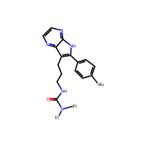 CCN(CC)C(=O)NCCCc1c(-c2ccc(C(C)(C)C)cc2)[nH]c2nccnc12